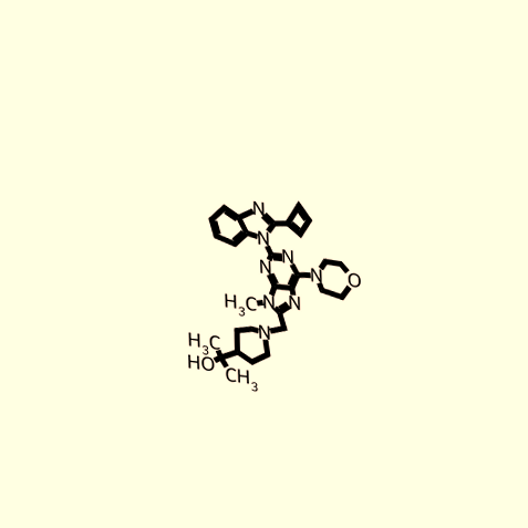 Cn1c(CN2CCC(C(C)(C)O)CC2)nc2c(N3CCOCC3)nc(-n3c(C4=CC=C4)nc4ccccc43)nc21